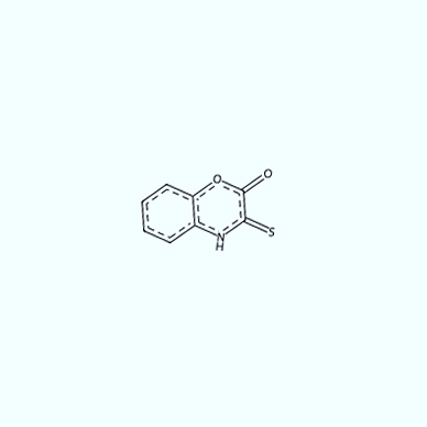 O=c1oc2ccccc2[nH]c1=S